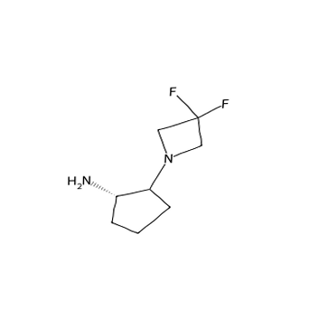 N[C@H]1CCCC1N1CC(F)(F)C1